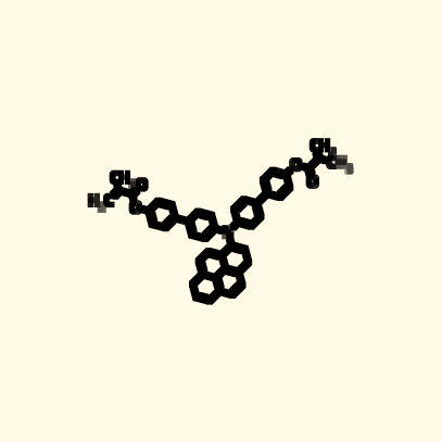 C=C(C)C(=O)Oc1ccc(-c2ccc(N(C3=CCc4ccc5c6c(ccc3c46)CC=C5)c3ccc(-c4ccc(OC(=O)C(=C)C)cc4)cc3)cc2)cc1